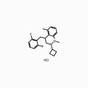 CON(CC(Cc1c(F)cccc1F)c1c(C)cccc1C)C1CCC1.Cl